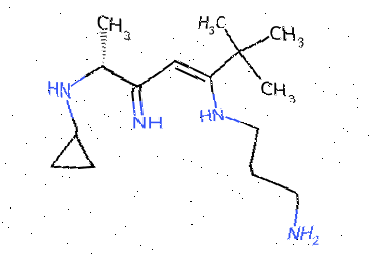 C[C@@H](NC1CC1)C(=N)/C=C(\NCCCN)C(C)(C)C